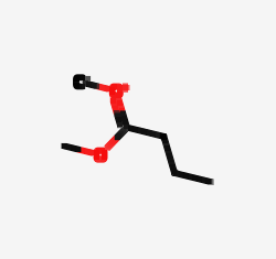 [CH2-]/[O+]=C(/CCC)OC